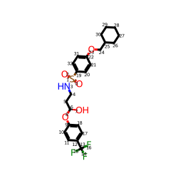 O=S(=O)(NCC[C@@H](O)Oc1ccc(C(F)(F)F)cc1)c1ccc(OCC2CCCCC2)cc1